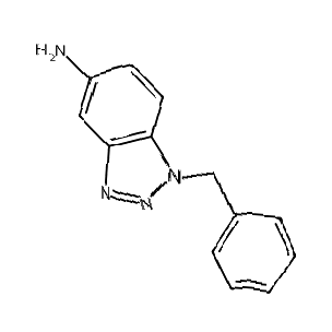 Nc1ccc2c(c1)nnn2Cc1ccccc1